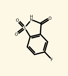 O=C1NS(=O)(=O)c2ccc(F)cc21